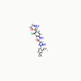 Cc1cc(C#N)ccc1N1C=C(C(=O)Nc2ccc([C@H]3CNCCO3)c(F)c2)CN1